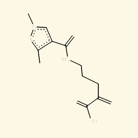 C=C(CCCNC(=S)c1cn(C)nc1C)C(=O)O